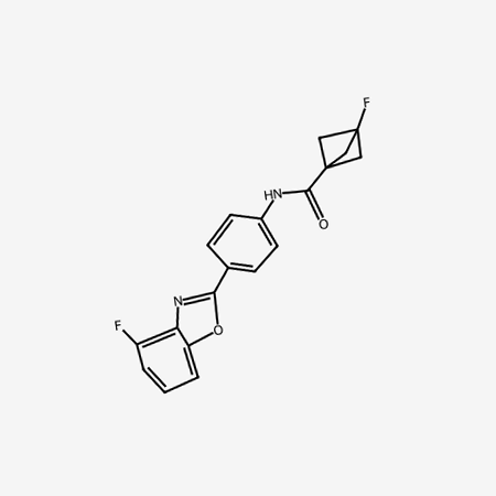 O=C(Nc1ccc(-c2nc3c(F)cccc3o2)cc1)C12CC(F)(C1)C2